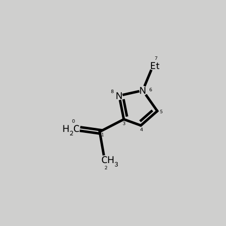 C=C(C)c1ccn(CC)n1